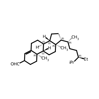 CC[C@H](CC[C@@H](C)[C@H]1CC[C@H]2[C@@H]3CCC4=CC(C=O)CC[C@]4(C)[C@H]3CC[C@]12C)C(C)C